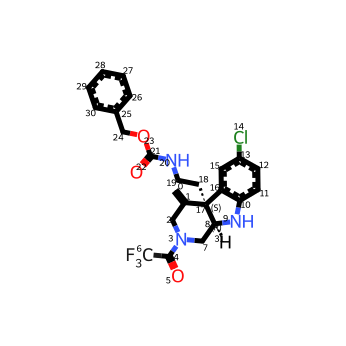 C=C1CN(C(=O)C(F)(F)F)C[C@@H]2Nc3ccc(Cl)cc3[C@]12CCNC(=O)OCc1ccccc1